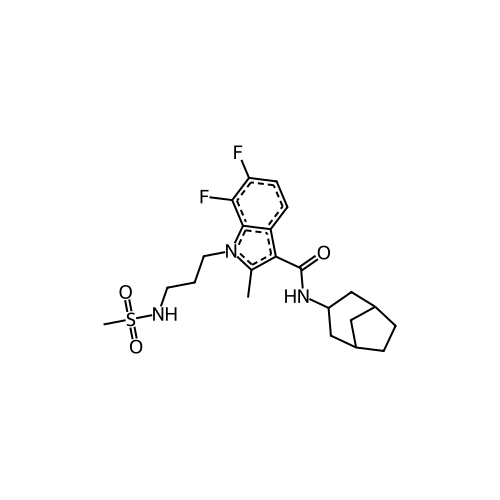 Cc1c(C(=O)NC2CC3CCC(C3)C2)c2ccc(F)c(F)c2n1CCCNS(C)(=O)=O